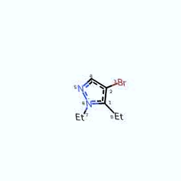 CCc1c(Br)[c]nn1CC